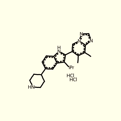 Cc1c(-c2[nH]c3ccc(C4CCNCC4)cc3c2C(C)C)cn2ncnc2c1C.Cl.Cl